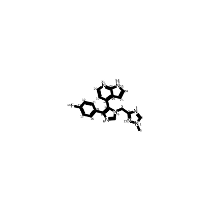 Cn1cnc(Cn2cnc(-c3ccc(F)cc3)c2-c2ccnc3[nH]ccc23)n1